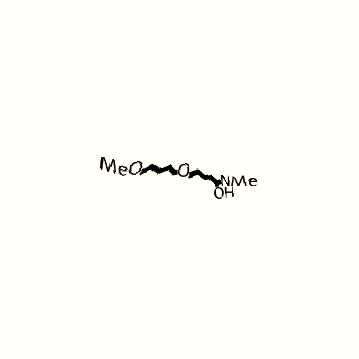 CNC(O)CCCCOCCCCCOC